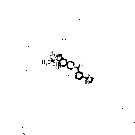 CC(C)(C)n1ncc2c1C(=O)CC1(CCN(C(=O)c3cccc(-c4ncc[nH]4)c3)CC1)C2